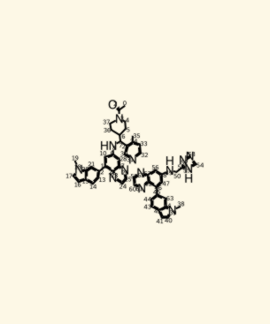 CC(=O)N1CCC(C(Nc2cc(-c3ccc4ccn(C)c4c3)c3nccnc3c2)c2cnccc2C)CC1.Cn1ccc2ccc(-c3cc(NCc4nnc[nH]4)cc4nccnc34)cc21